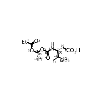 CCC(=O)O[C@H](OC(=O)N[C@H](CC(=O)O)[C@H](C)[C@H](C)CC)C(C)C